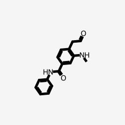 CNc1cc(C(=O)Nc2ccccc2)ccc1CC=O